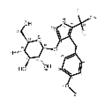 COc1ccc(Cc2c(O[C@@H]3O[C@H](CO)[C@@H](F)[C@H](O)[C@H]3O)n[nH]c2C(F)(F)F)cc1